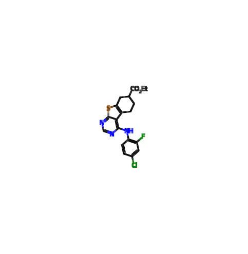 CCOC(=O)C1CCc2c(sc3ncnc(Nc4ccc(Cl)cc4F)c23)C1